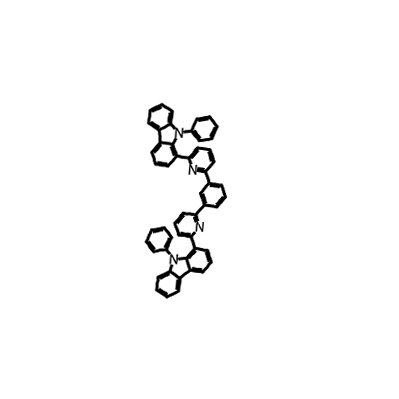 c1ccc(-n2c3ccccc3c3cccc(-c4cccc(-c5cccc(-c6cccc(-c7cccc8c9ccccc9n(-c9ccccc9)c78)n6)c5)n4)c32)cc1